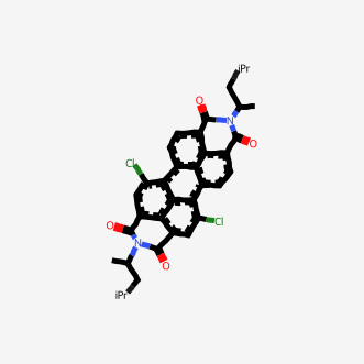 CC(C)CC(C)N1C(=O)c2ccc3c4c(Cl)cc5c6c(cc(Cl)c(c7ccc(c2c37)C1=O)c64)C(=O)N(C(C)CC(C)C)C5=O